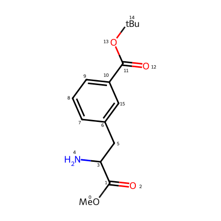 COC(=O)C(N)Cc1cccc(C(=O)OC(C)(C)C)c1